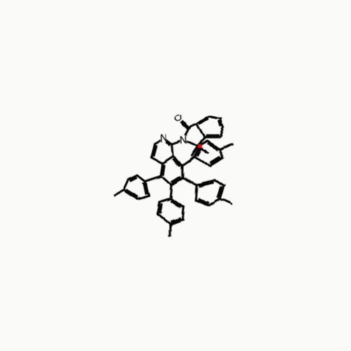 Cc1ccc(-c2c(-c3ccc(C)cc3)c(-c3ccc(C)cc3)c3c(N4C(=O)c5ccccc5C4(C)C)nccc3c2-c2ccc(C)cc2)cc1